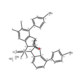 CC1=Cc2c(cc(C)c(C)c2-c2ccc(C(C)(C)C)cc2)[CH]1[Zr]([CH3])([CH3])(=[SiH2])[CH]1C(C(C)C)=Cc2c(-c3ccc(C(C)(C)C)cc3)cccc21.Cl.Cl